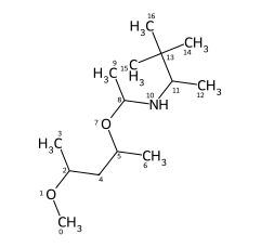 COC(C)CC(C)OC(C)NC(C)C(C)(C)C